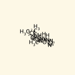 Cc1cc(C)c(NC(=O)c2sc(NC(=O)Nc3cnccn3)nc2C)c(C)c1